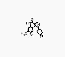 Cc1cc2[nH]c(=O)c3cnn(C4CCC(F)(F)CC4)c3c2cc1Br